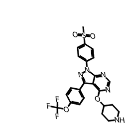 CS(=O)(=O)c1ccc(-n2nc(-c3ccc(OC(F)(F)F)cc3)c3c(OC4CCNCC4)ncnc32)cc1